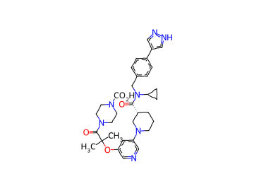 CC(C)(Oc1cncc(N2CCC[C@@H](C(=O)N(Cc3ccc(-c4cn[nH]c4)cc3)C3CC3)C2)c1)C(=O)N1CCN(C(=O)O)CC1